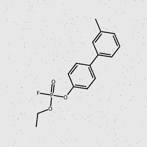 CCOP(=O)(F)Oc1ccc(-c2cccc(C)c2)cc1